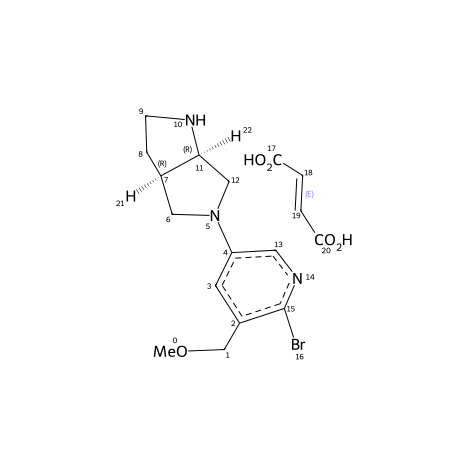 COCc1cc(N2C[C@H]3CCN[C@H]3C2)cnc1Br.O=C(O)/C=C/C(=O)O